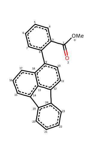 COC(=O)c1ccccc1-c1ccc2c3c(cccc13)-c1ccccc1-2